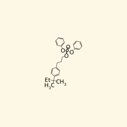 CCC(C)(C)c1ccc(CCCOP(=O)(Oc2ccccc2)Oc2ccccc2)cc1